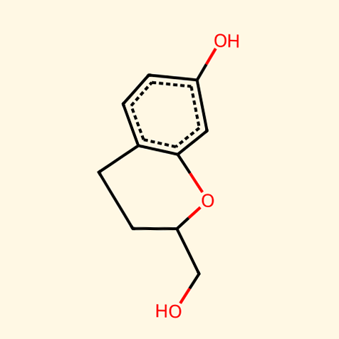 OCC1CCc2ccc(O)cc2O1